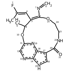 C=N/C1=C(\C=C(/C)F)C(C)Oc2cnc3[nH]cc(c3n2)C(=O)NCCO1